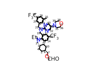 CCN(C[C@H]1CC[C@H](COC=O)CC1)c1ccc(C(F)(F)F)cc1CN(Cc1cc(C)cc(C(F)(F)F)c1)c1ncc(N2CCOCC2)cn1